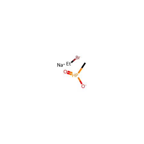 CCBr.C[PH](=O)[O-].[Na+]